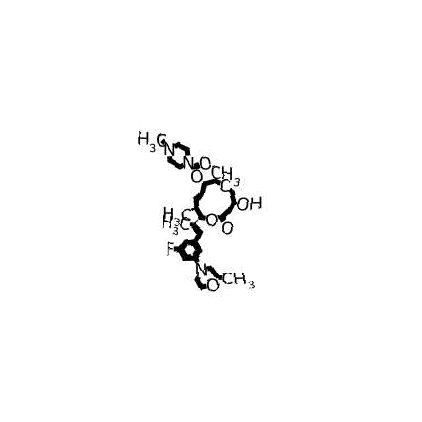 C/C(=C\c1cc(F)cc(N2CCOC(C)C2)c1)[C@H]1OC(=O)C[C@H](O)CC[C@H](C)[C@@H](OC(=O)N2CCN(C)CC2)/C=C/[C@@H]1C